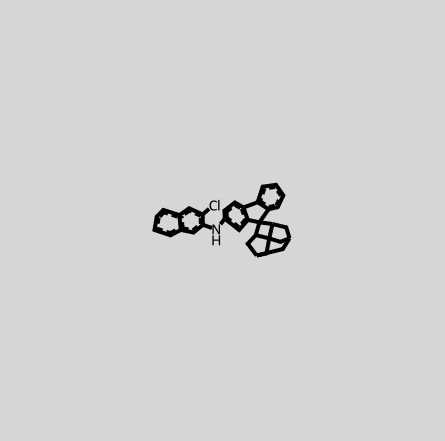 Clc1cc2ccccc2cc1Nc1ccc2c(c1)C1(c3ccccc3-2)C2CC3CC4CC1C2(C3)C4